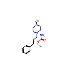 CC(=O)N1CCN(CCCc2ccccc2)CC1.CC(C)(C)OC(N)=O